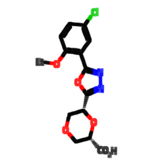 CCOc1ccc(Cl)cc1-c1nnc([C@H]2COC[C@@H](C(=O)O)O2)o1